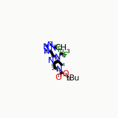 Cn1nnnc1-c1nc2c(n1C(F)F)CN(C(=O)OC(C)(C)C)C2